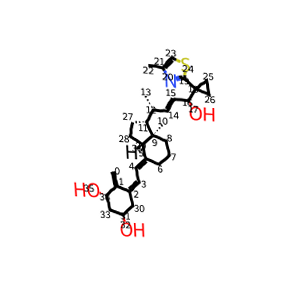 C=C1/C(=C\C=C2/CCC[C@]3(C)[C@@H]([C@H](C)/C=C/[C@H](O)C4(c5nc(C)cs5)CC4)CC[C@@H]23)C[C@@H](O)C[C@@H]1O